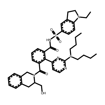 CCCCN(CCCC)c1nccc(-c2c(C(=O)NS(=O)(=O)c3ccc4c(c3)CCN4CC)cccc2C(=O)N2Cc3ccccc3CC2CO)n1